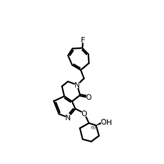 O=C1c2c(ccnc2OC2CCCC[C@@H]2O)CCN1CC1=CC=CC(F)=CC1